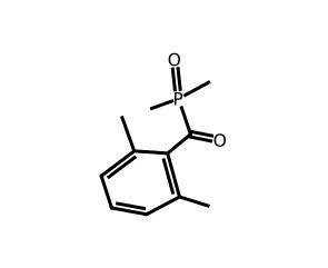 Cc1cccc(C)c1C(=O)P(C)(C)=O